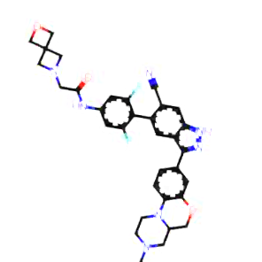 CN1CCN2c3ccc(-c4n[nH]c5cc(C#N)c(-c6c(F)cc(NC(=O)CN7CC8(COC8)C7)cc6F)cc45)cc3OCC2C1